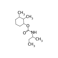 CCC(C)NC(=O)OC1CCCC(C)C1C